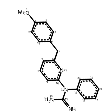 COc1ccc(Cc2cccc(N(C(=N)N)c3ccccc3)n2)cc1